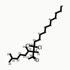 CCCCCCCCCCCC(Cl)(Cl)C(C)(C(C)=O)C(C)CCCC(C)C